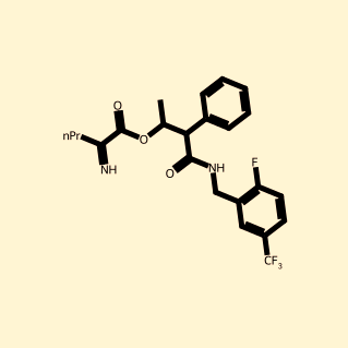 CCCC(=N)C(=O)OC(C)C(C(=O)NCc1cc(C(F)(F)F)ccc1F)c1ccccc1